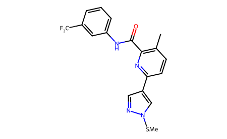 CSn1cc(-c2ccc(C)c(C(=O)Nc3cccc(C(F)(F)F)c3)n2)cn1